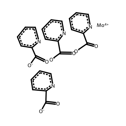 O=C([O-])c1ccccn1.O=C([O-])c1ccccn1.O=C([O-])c1ccccn1.O=C([O-])c1ccccn1.[Mo+4]